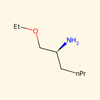 CCCC[C@H](N)COCC